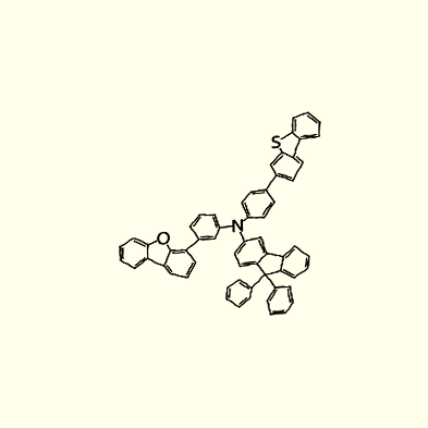 c1ccc(C2(c3ccccc3)c3ccccc3-c3cc(N(c4ccc(-c5ccc6c(c5)sc5ccccc56)cc4)c4cccc(-c5cccc6c5oc5ccccc56)c4)ccc32)cc1